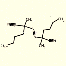 CCCCC(C)(C#N)/N=N/C(C)(C#N)CCCC